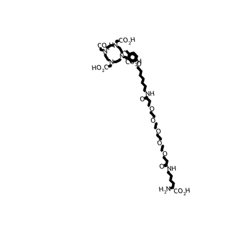 N[C@@H](CCCCNC(=O)CCOCCOCCOCCOCCOCCC(=O)NCCCCCCCOc1ccc(C[C@H]2CN(CC(=O)O)CCN(CC(=O)O)CCN(CC(=O)O)CCN2CC(=O)O)cc1)C(=O)O